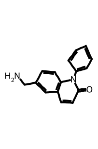 NCc1ccc2c(ccc(=O)n2-c2ccccc2)c1